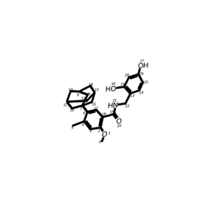 COc1cc(C)c(C23CC4CC(CC(C4)C2)C3)cc1C(=O)NCc1ccc(O)cc1O